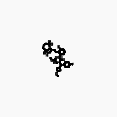 COC(=O)N[C@H](C(=O)Nc1cccc(F)c1CC[C@H]1CN[C@@H]2CCCS(=O)(=O)N1C2)[C@@H](c1ccc(F)cc1)[C@H]1C[C@@H](OC)C1